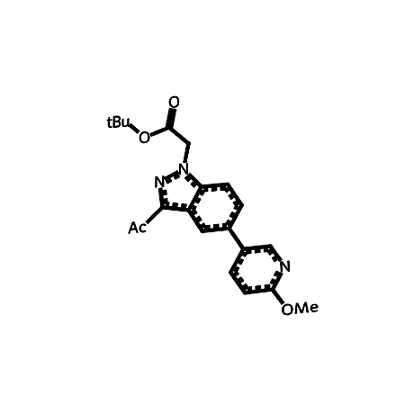 COc1ccc(-c2ccc3c(c2)c(C(C)=O)nn3CC(=O)OC(C)(C)C)cn1